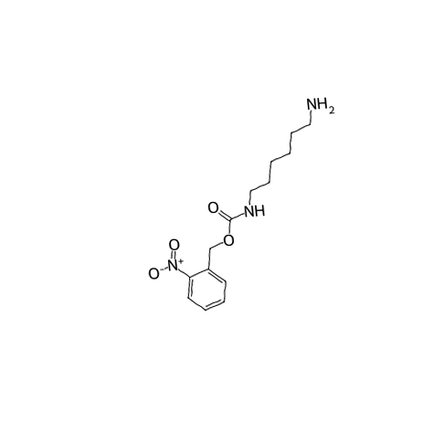 NCCCCCCNC(=O)OCc1ccccc1[N+](=O)[O-]